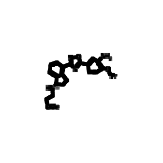 COCCN[C@H]1CCc2c(-c3noc(-c4ccc(OC(C)C)c(N)c4)n3)cccc21